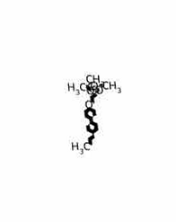 CCCC[C@H]1CC[C@H]([C@H]2CC[C@H](OCCC[Si](OCC)(OCC)OCC)CC2)CC1